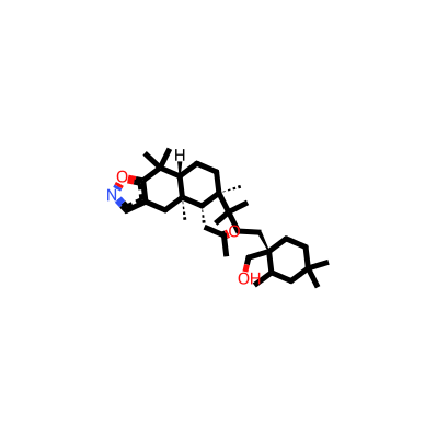 CC(=O)C[C@@H]1[C@@]2(C)Cc3cnoc3C(C)(C)[C@@H]2CC[C@@]1(C)C(C)(C)CC[C@@]1(CO)CCC(C)(C)CC1C